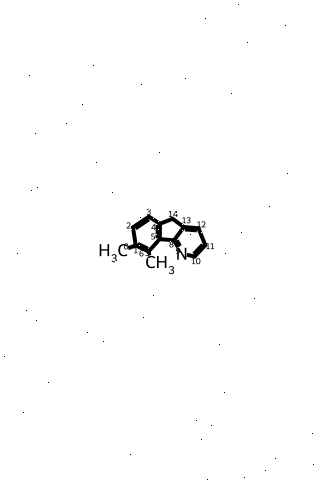 Cc1ccc2c(c1C)-c1ncccc1C2